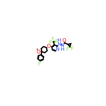 CO[C@]1(c2ccc(F)cc2)CC[C@@H](Oc2ccnc(NNC(=O)C3CC3(F)F)c2C(F)(F)F)CC1